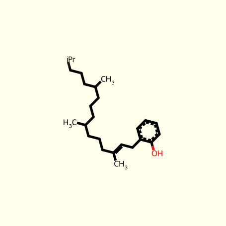 C/C(=C\Cc1ccccc1O)CCCC(C)CCCC(C)CCCC(C)C